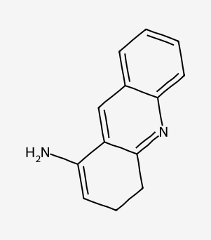 NC1=CCCc2nc3ccccc3cc21